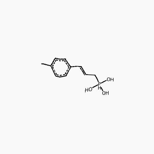 Cc1ccc(C=CC[PH](O)(O)O)cc1